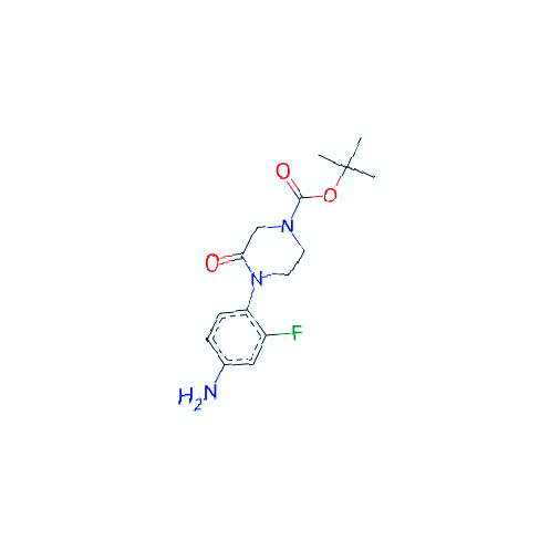 CC(C)(C)OC(=O)N1CCN(c2ccc(N)cc2F)C(=O)C1